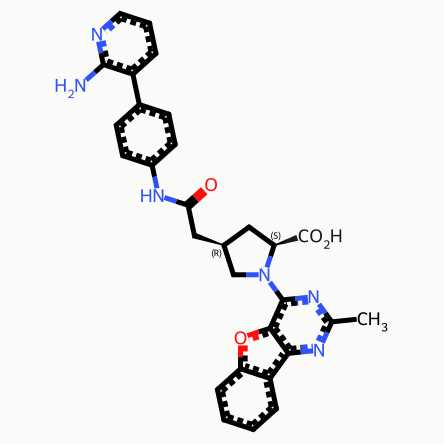 Cc1nc(N2C[C@@H](CC(=O)Nc3ccc(-c4cccnc4N)cc3)C[C@H]2C(=O)O)c2oc3ccccc3c2n1